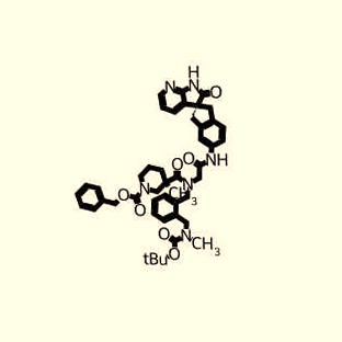 CN(Cc1ccccc1CN(CC(=O)Nc1ccc2c(c1)C[C@@]1(C2)C(=O)Nc2ncccc21)C(=O)C1(C)CCCN(C(=O)OCc2ccccc2)C1)C(=O)OC(C)(C)C